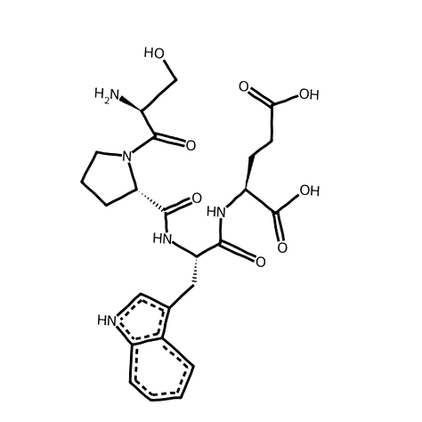 N[C@@H](CO)C(=O)N1CCC[C@H]1C(=O)N[C@@H](Cc1c[nH]c2ccccc12)C(=O)N[C@@H](CCC(=O)O)C(=O)O